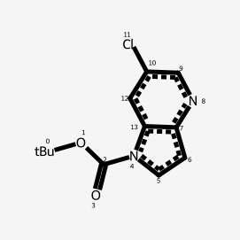 CC(C)(C)OC(=O)n1ccc2ncc(Cl)cc21